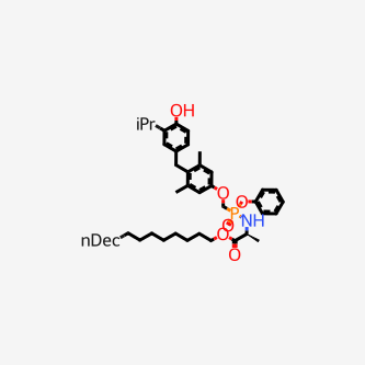 CCCCCCCCCCCCCCCCCCOC(=O)[C@H](C)NP(=O)(COc1cc(C)c(Cc2ccc(O)c(C(C)C)c2)c(C)c1)Oc1ccccc1